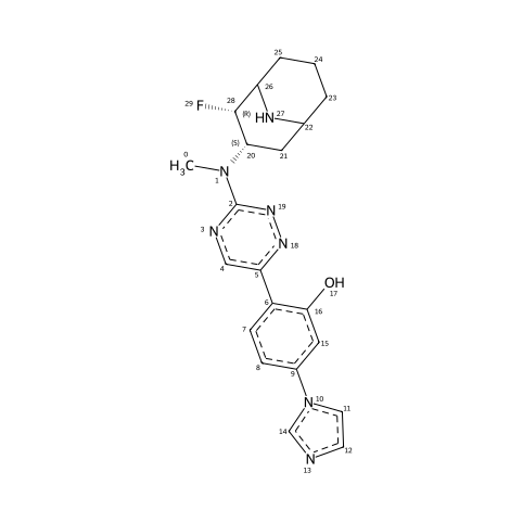 CN(c1ncc(-c2ccc(-n3ccnc3)cc2O)nn1)[C@H]1CC2CCCC(N2)[C@H]1F